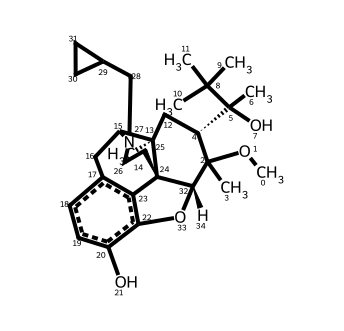 COC1(C)[C@@H](C(C)(O)C(C)(C)C)C[C@]2(C)C3Cc4ccc(O)c5c4[C@@]2(CCN3CC2CC2)[C@H]1O5